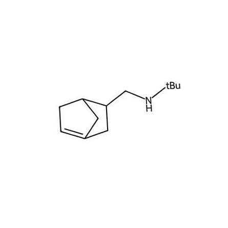 CC(C)(C)NCC1CC2=CCC1C2